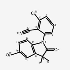 CC1(C)C(=O)N(c2cccc(Cl)c2C#N)c2ccc(Br)cc21